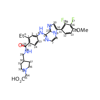 CCc1cc(Nc2nccn3c(-c4ccc(OC)c(F)c4F)cnc23)ccc1C(=O)NCC1CCN(CC(=O)O)CC1